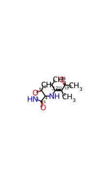 CCC(NC1C(=O)NOC1C)=C(C)C(C)=O